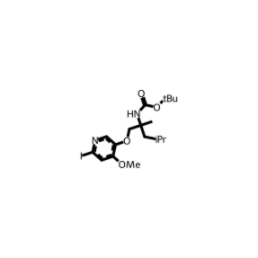 COc1cc(I)ncc1OCC(C)(CC(C)C)NC(=O)OC(C)(C)C